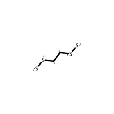 [S]SCCS[S]